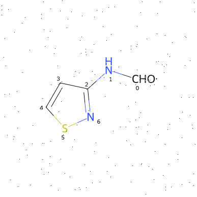 O=[C]Nc1ccsn1